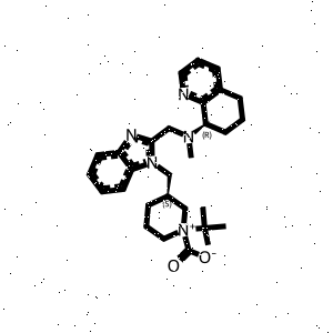 CN(Cc1nc2ccccc2n1C[C@@H]1CCC[N+](C(=O)[O-])(C(C)(C)C)C1)[C@@H]1CCCc2cccnc21